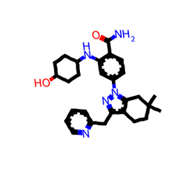 CC1(C)CCc2c(Cc3ccccn3)nn(-c3ccc(C(N)=O)c(NC4CCC(O)CC4)c3)c2C1